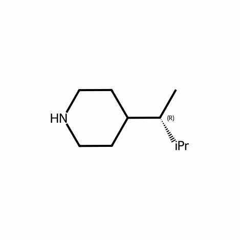 CC(C)[C@@H](C)C1CCNCC1